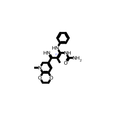 C/C(C(=N)C1=CC2=C(OCCO2)N(C)C1)=C(\NC(N)=O)Nc1ccccc1